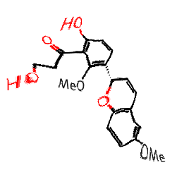 COc1ccc2c(c1)C=C[C@@H](c1ccc(O)c(C(=O)CCO)c1OC)O2